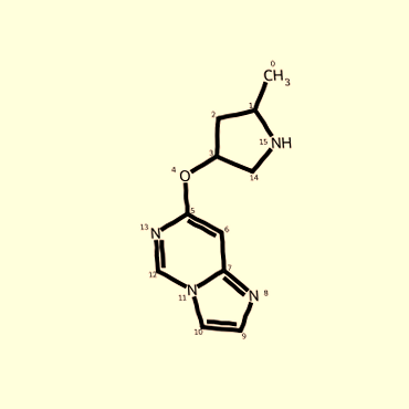 CC1CC(Oc2cc3nccn3cn2)CN1